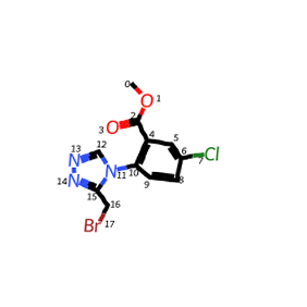 COC(=O)c1cc(Cl)ccc1-n1cnnc1CBr